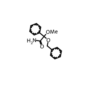 COC(OCc1ccccc1)(C(N)=O)c1ccccc1